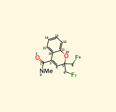 CNC(=O)C1=CC(CF)(CF)Oc2ccccc21